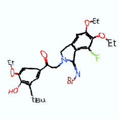 CCOc1cc(C(=O)CN2Cc3cc(OCC)c(OCC)c(F)c3/C2=N/Br)cc(C(C)(C)C)c1O